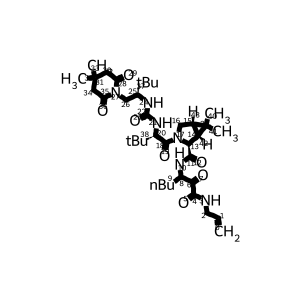 C=CCNC(=O)C(=O)C(CCCC)NC(=O)[C@@H]1[C@@H]2[C@H](CN1C(=O)[C@@H](NC(=O)N[C@H](CN1C(=O)CC(C)(C)CC1=O)C(C)(C)C)C(C)(C)C)C2(C)C